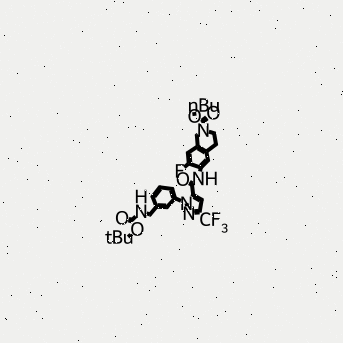 CCCCOC(=O)N1CCc2cc(NC(=O)c3cc(C(F)(F)F)nn3-c3cccc(CNC(=O)OC(C)(C)C)c3)c(F)cc2C1